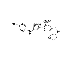 COc1cc(CN(C)C2CCOC2)ccc1-c1cc(Nc2cnc(C#N)cn2)n[nH]1